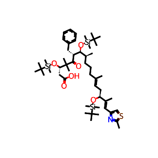 C/C(=C\C[C@H](O[Si](C)(C)C(C)(C)C)/C(C)=C/c1csc(C)n1)CCC[C@H](C)[C@H](O[Si](C)(C)C(C)(C)C)[C@@H](Cc1ccccc1)C(=O)C(C)(C)[C@H](CC(=O)O)O[Si](C)(C)C(C)(C)C